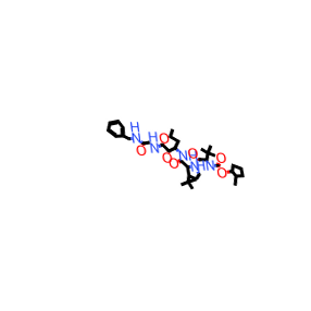 CCCC(NC(=O)C1C2C(CN1C(=O)[C@@H](NC(=O)OC1CCCC1C)C(C)(C)C)C2(C)C)C(=O)C(=O)NCC(=O)NCc1ccccc1